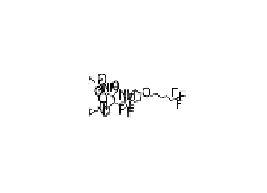 O=C1NC(c2ccc(OCCCCCC(F)(F)F)cc2)(C(F)(F)F)CC(c2ccn(C3CC3)n2)=C1C(=O)NS(=O)(=O)C1CC1